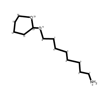 NCCCCCCCCOC1CCCCO1